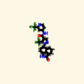 O=C(Nc1ccnc(C(F)(F)F)c1)c1cnn(-c2ccc3c4c(cccc24)C(=O)N3)c1C(F)(F)F